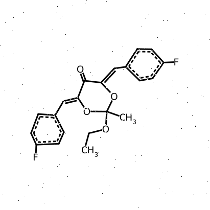 CCOC1(C)O/C(=C\c2ccc(F)cc2)C(=O)/C(=C/c2ccc(F)cc2)O1